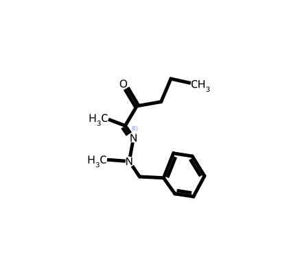 CCCC(=O)/C(C)=N/N(C)Cc1ccccc1